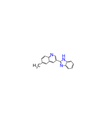 Cc1ccc2ncc(-c3nc4ccccc4[nH]3)cc2c1